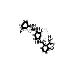 Cc1cc(NC(=O)c2cccc3onc(N)c23)ccc1NC(=O)Nc1cccc(F)c1